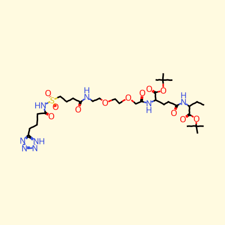 CCC(NC(=O)CCC(NC(=O)COCCOCCNC(=O)CCCS(=O)(=O)NC(=O)CCCc1nnn[nH]1)C(=O)OC(C)(C)C)C(=O)OC(C)(C)C